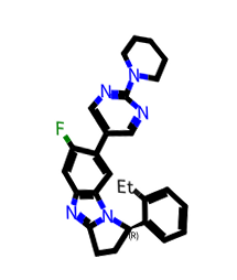 CCc1ccccc1[C@H]1CCc2nc3cc(F)c(-c4cnc(N5CCCCC5)nc4)cc3n21